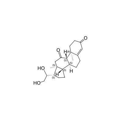 C[C@]12CC(=O)[C@H]3[C@@H](CCC4=CC(=O)CC[C@@]43C)[C@@H]1CC[C@@H]2C(O)CO